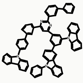 c1ccc(-c2cccc(-c3nc(-c4cccc(-c5ccc(-n6c7ccccc7c7ccccc76)cc5)c4)cc(-c4cc(-c5ccc6c(c5)c5ccccc5n6-c5ccccc5)cc(-n5c6ccccc6c6ccccc65)c4)n3)c2)cc1